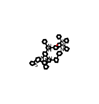 c1ccc(-c2cc(-c3ccc(-n4c5ccccc5c5c6sc7ccccc7c6ccc54)c(-c4nc(-c5ccccc5)cc(-c5cccc(-c6ccc(N7c8ccccc8B8c9ccccc9N(c9ccccc9)c9cccc7c98)cc6)c5)n4)c3)nc(-c3ccccc3)n2)cc1